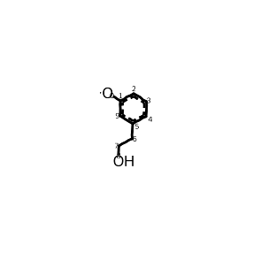 [O]c1cccc(CCO)c1